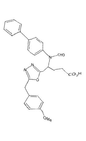 COc1ccc(Cc2nnc(C(CCC(=O)O)N(C=O)c3ccc(-c4ccccc4)cc3)o2)cc1